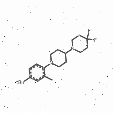 Cc1cc(C(C)(C)C)ccc1N1CCC(N2CCC(F)(F)CC2)CC1